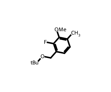 COc1c(C)ccc(COC(C)(C)C)c1F